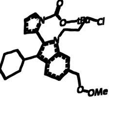 COOCc1ccc2c(C3CCCCC3)c(-c3cccn3C(=O)OC(C)(C)C)n(CCCCl)c2c1